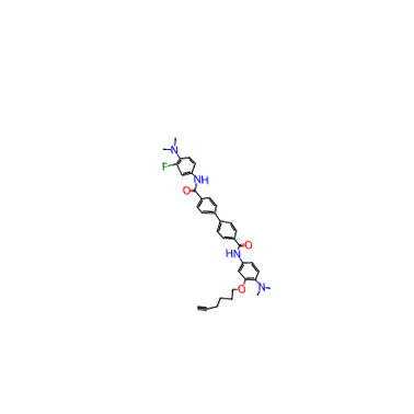 C#CCCCCOc1cc(NC(=O)c2ccc(-c3ccc(C(=O)Nc4ccc(N(C)C)c(F)c4)cc3)cc2)ccc1N(C)C